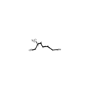 CC(C)CCCC[C@H](C)CF